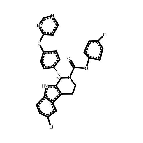 O=C(Oc1ccc(Cl)cc1)N1CCc2c([nH]c3ccc(Cl)cc23)[C@@H]1c1ccc(Oc2ccncn2)cc1